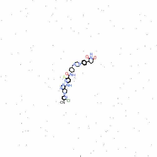 N#Cc1ccc(N2CCc3c(ncnc3Nc3ccc(C(=O)N[C@H]4CC[C@H](CN5CCN(c6ccc(C7CCC(=O)NC7=O)cc6)CC5)CC4)c(F)n3)C2)nc1Cl